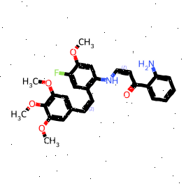 COc1cc(N/C=C\C(=O)c2ccccc2N)c(/C=C\c2cc(OC)c(OC)c(OC)c2)cc1F